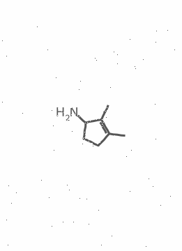 CC1=C(C)C(N)CC1